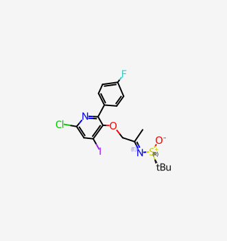 C/C(COc1c(I)cc(Cl)nc1-c1ccc(F)cc1)=N\[S@@+]([O-])C(C)(C)C